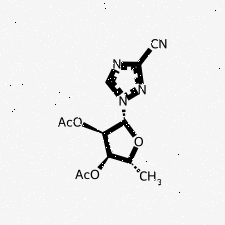 CC(=O)O[C@@H]1[C@H](OC(C)=O)[C@@H](C)O[C@H]1n1cnc(C#N)n1